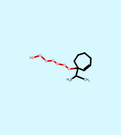 BC(C)C1(OOOOOOO)C=CCCCC1